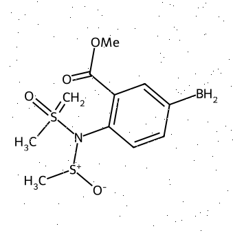 Bc1ccc(N([S+](C)[O-])S(=C)(C)=O)c(C(=O)OC)c1